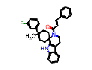 CC1(c2cccc(F)c2)CCC2(CC1)c1[nH]c3ccccc3c1CCN2C(=O)/C=C/c1ccccc1